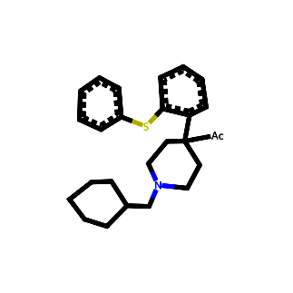 CC(=O)C1(c2ccccc2Sc2ccccc2)CCN(CC2CCCCC2)CC1